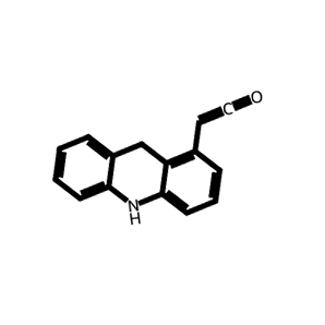 O=C=Cc1cccc2c1Cc1ccccc1N2